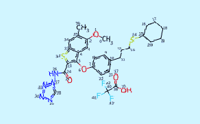 COc1cc2c(Oc3ccc(CCCSC4CCCCC4)cc3)c(C(=O)Nn3cnnn3)sc2cc1C.O=C(O)C(F)(F)F